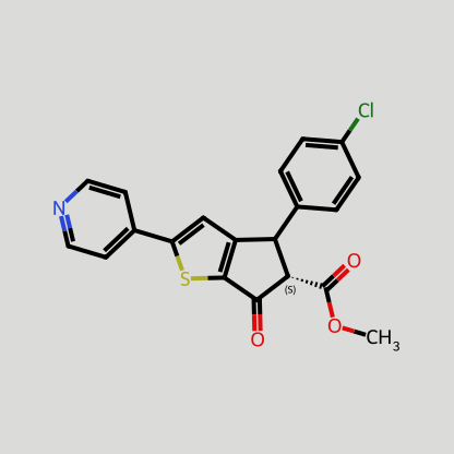 COC(=O)[C@@H]1C(=O)c2sc(-c3ccncc3)cc2C1c1ccc(Cl)cc1